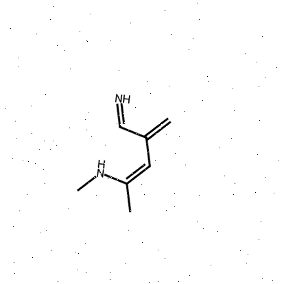 C=C(C=N)/C=C(/C)NC